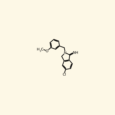 COc1cccc(CN2Cc3cc(Cl)ccc3C2=N)c1